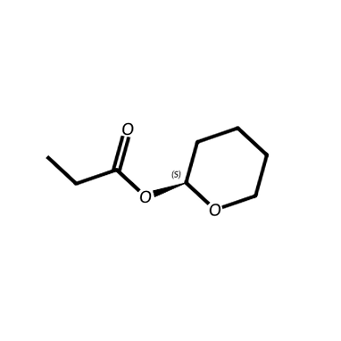 CCC(=O)O[C@H]1CCCCO1